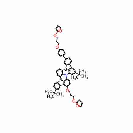 CC(C)(C)c1ccc2c(c1)-c1c(OCCCOc3ccco3)ccc3c1B2c1cccc2c1N3c1cc(C(C)(C)C)cc3c1B2c1cc(-c2ccc(OCCCOc4ccco4)cc2)ccc1-3